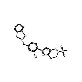 CS(=O)(=O)N1CCc2nn(-c3ccc(CN4Cc5ccccc5C4)cc3C#N)cc2C1